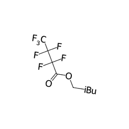 CCC(C)COC(=O)C(F)(F)C(F)(F)C(F)(F)F